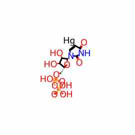 O=c1[nH]c(=O)n([C@@H]2O[C@H](COP(=O)(O)OP(=O)(O)O)[C@@H](O)[C@H]2O)c[c]1[Hg]